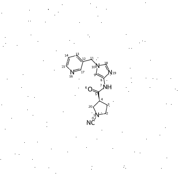 N#CN1CC[C@H](C(=O)Nc2cn(Cc3cccnc3)cn2)C1